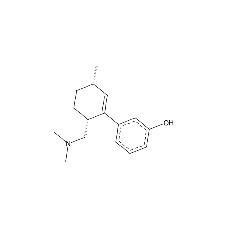 C[C@@H]1C=C(c2cccc(O)c2)[C@H](CN(C)C)CC1